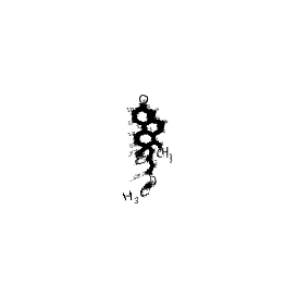 CCC1C2C=CC3=CC(=O)CCC3C2CCC1(CC)CCCCOC